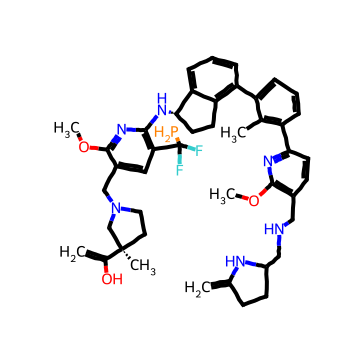 C=C1CCC(CNCc2ccc(-c3cccc(-c4cccc5c4CC[C@@H]5Nc4nc(OC)c(CN5CC[C@@](C)(C(=C)O)C5)cc4C(F)(F)P)c3C)nc2OC)N1